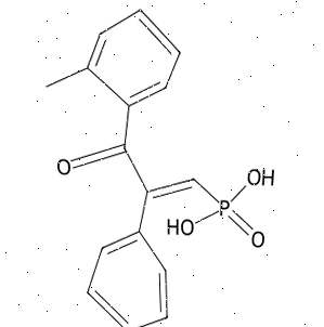 Cc1ccccc1C(=O)C(=CP(=O)(O)O)c1ccccc1